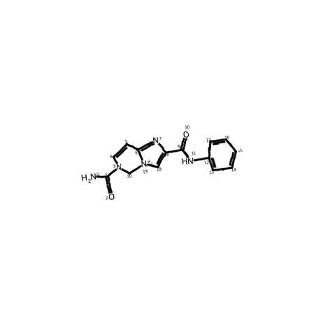 NC(=O)N1C=CC2=NC(C(=O)Nc3ccccc3)=C[N+]2C1